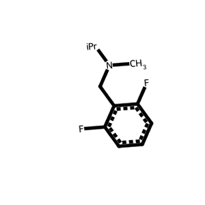 CC(C)N(C)Cc1c(F)cccc1F